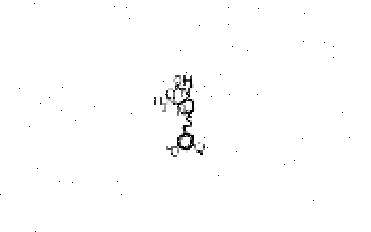 CCN(C(=O)O)c1ccc(SCc2cc(OC)cc(OC)c2)nc1N